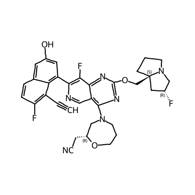 C#Cc1c(F)ccc2cc(O)cc(-c3ncc4c(N5CCCO[C@H](CC#N)C5)nc(OC[C@@]56CCCN5C[C@H](F)C6)nc4c3F)c12